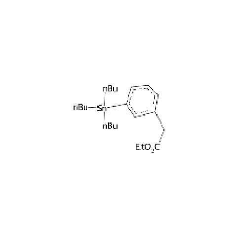 CCC[CH2][Sn]([CH2]CCC)([CH2]CCC)[c]1cccc(CC(=O)OCC)c1